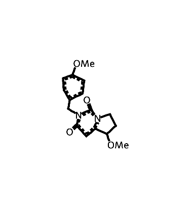 COc1ccc(Cn2c(=O)cc3n(c2=O)CCC3OC)cc1